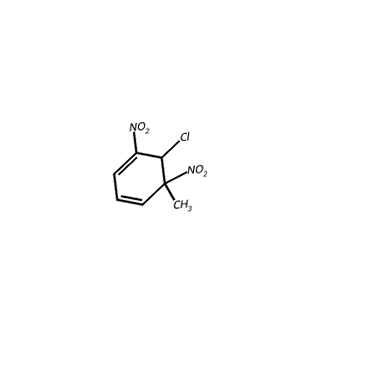 CC1([N+](=O)[O-])C=CC=C([N+](=O)[O-])C1Cl